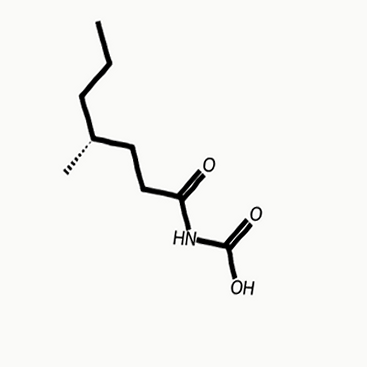 CCC[C@@H](C)CCC(=O)NC(=O)O